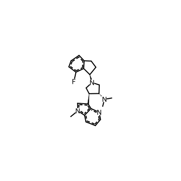 CN(C)[C@H]1CN([C@@H]2CCc3cccc(F)c32)C[C@@H]1c1cn(C)c2cccnc12